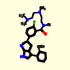 CCN(CCN(C)CCN(C)C)C(=O)c1cc(-c2cnc3[nH]cc(-c4ccccc4OC)c3c2)ccc1F